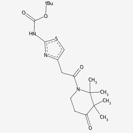 CC(C)(C)OC(=O)Nc1nc(CC(=O)N2CCC(=O)C(C)(C)C2(C)C)cs1